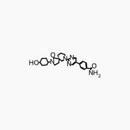 NC(=O)c1ccc(-c2cnc(N3CCC[C@]4(CCN(C5CCC(O)CC5)C4=O)C3)nc2)cc1